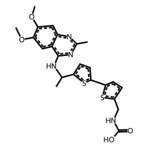 COc1cc2nc(C)nc(NC(C)c3ccc(-c4ccc(CNC(=O)O)s4)s3)c2cc1OC